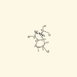 Cc1ccc2c(C)nn(C(C)C)c2c1